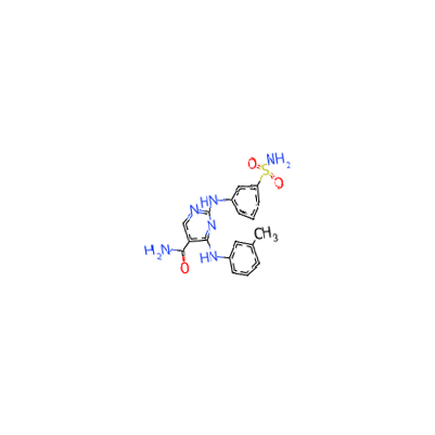 Cc1cccc(Nc2nc(Nc3cccc(S(N)(=O)=O)c3)ncc2C(N)=O)c1